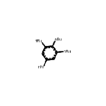 CCCCc1cc(CCC)cc(C(C)(C)C)c1CCCC